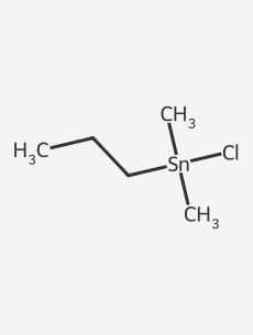 CC[CH2][Sn]([CH3])([CH3])[Cl]